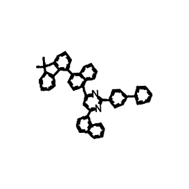 CC1(C)c2ccccc2-c2c(-c3ccc(-c4cc(-c5cccc6ccccc56)nc(-c5ccc(-c6ccccc6)cc5)n4)c4ccccc34)cccc21